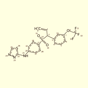 C=CC(c1cccc(OC(F)(F)F)c1)S(=O)(=O)c1ccc(Nc2nncs2)cc1